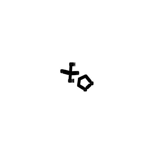 C1COOC1.O=S(=O)(O)O